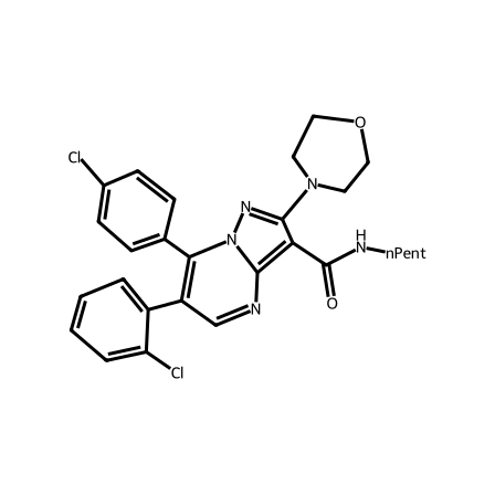 CCCCCNC(=O)c1c(N2CCOCC2)nn2c(-c3ccc(Cl)cc3)c(-c3ccccc3Cl)cnc12